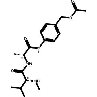 CN[C@@H](C(=O)N[C@H](C)C(=O)Nc1ccc(COC(C)=O)cc1)C(C)C